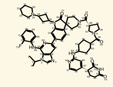 CC(C)n1cnc2cc(-c3ccc4c(c3)N(C3CC(N5CCCCC5)C3)C(=O)C43CCN(C(=O)[C@@H]4CCN(C(=O)C5CCC(Nc6cc([C@H]7CCC(=O)NC7=O)ccn6)CC5)C4)CC3)nc(Nc3ccccc3F)c21